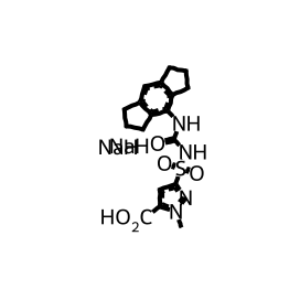 Cn1nc(S(=O)(=O)NC(=O)Nc2c3c(cc4c2CCC4)CCC3)cc1C(=O)O.[NaH].[NaH]